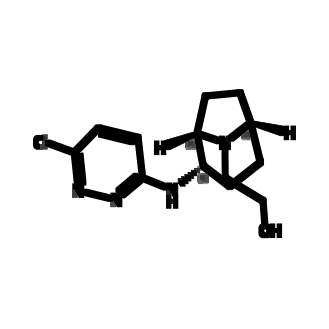 OCCN1[C@H]2CC[C@H](Nc3ccc(Cl)nn3)[C@@H]1CC2